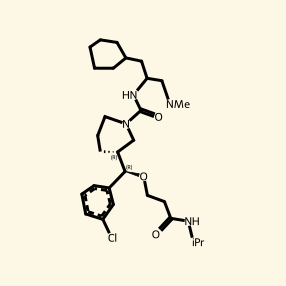 CNCC(CC1CCCCC1)NC(=O)N1CCC[C@@H]([C@@H](OCCC(=O)NC(C)C)c2cccc(Cl)c2)C1